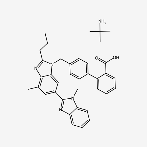 CC(C)(C)N.CCCc1nc2c(C)cc(-c3nc4ccccc4n3C)cc2n1Cc1ccc(-c2ccccc2C(=O)O)cc1